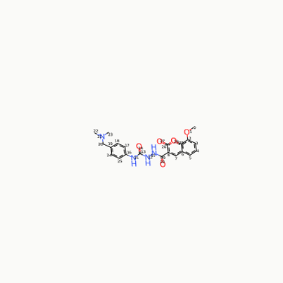 COc1cccc2cc(C(=O)NNC(=O)Nc3ccc(CN(C)C)cc3)c(=O)oc12